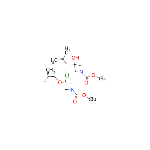 C=C(C)CC1(O)CN(C(=O)OC(C)(C)C)C1.C=C(F)COC1(Cl)CN(C(=O)OC(C)(C)C)C1